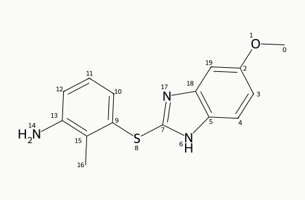 COc1ccc2[nH]c(Sc3cccc(N)c3C)nc2c1